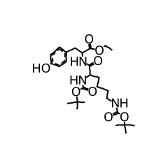 CCOC(=O)C(Cc1ccc(O)cc1)NC(=O)C(CCCCNC(=O)OC(C)(C)C)NC(=O)OC(C)(C)C